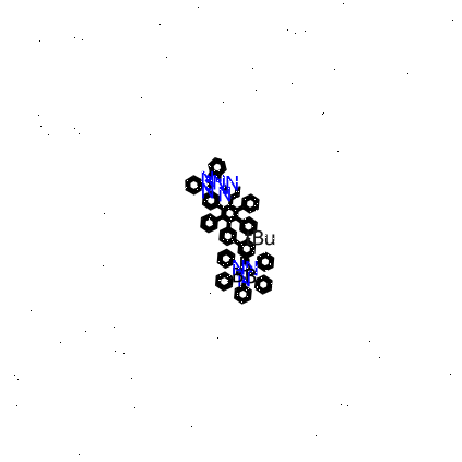 CC(C)(C)c1ccc(B2N(c3ccccc3)B(c3ccccc3)N(c3ccccc3)B(c3ccccc3)N2c2ccccc2)cc1-c1cccc(-c2c(-c3ccccc3)c(-c3ccccc3)c(-c3ccnc(-n4c5ccccc5n5c6ccccc6nc45)n3)c(-c3ccccc3)c2-c2ccccc2)c1